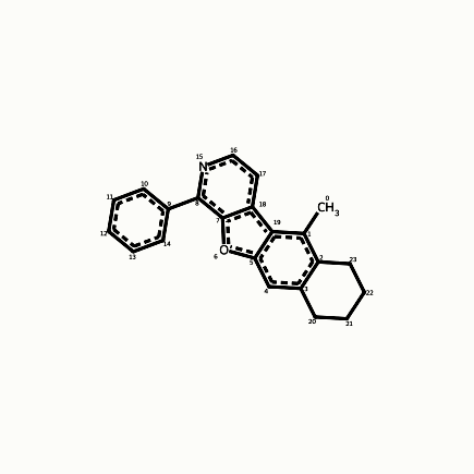 Cc1c2c(cc3oc4c(-c5ccccc5)nccc4c13)CCCC2